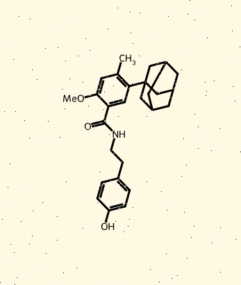 COc1cc(C)c(C23CC4CC(CC(C4)C2)C3)cc1C(=O)NCCc1ccc(O)cc1